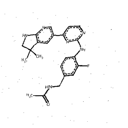 CC(=O)NCc1ccc(Nc2nccc(-c3cnc4c(c3)C(C)(C)CN4)n2)c(F)c1